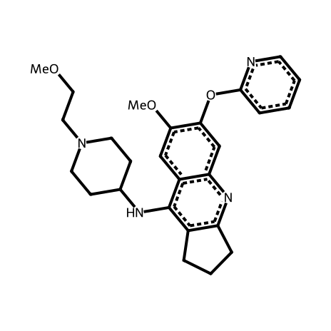 COCCN1CCC(Nc2c3c(nc4cc(Oc5ccccn5)c(OC)cc24)CCC3)CC1